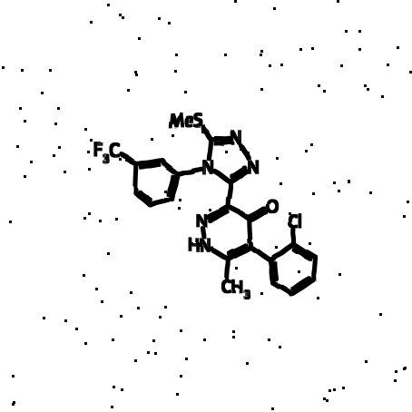 CSc1nnc(-c2n[nH]c(C)c(-c3ccccc3Cl)c2=O)n1-c1cccc(C(F)(F)F)c1